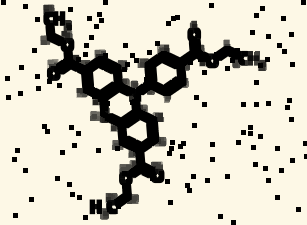 CCOC(=O)c1ccc(N2c3ccc(C(=O)OCC)cc3Sc3cc(C(=O)OCC)ccc32)cc1